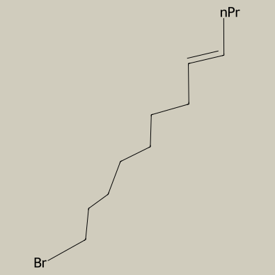 CCCC=CCCCCCCCBr